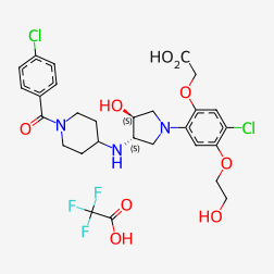 O=C(O)C(F)(F)F.O=C(O)COc1cc(Cl)c(OCCO)cc1N1C[C@H](NC2CCN(C(=O)c3ccc(Cl)cc3)CC2)[C@@H](O)C1